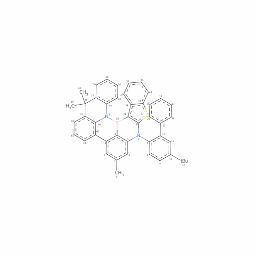 Cc1cc2c3c(c1)N(c1ccc(C(C)(C)C)cc1-c1ccccc1)c1sc4ccccc4c1B3N1c3ccccc3C(C)(C)c3cccc-2c31